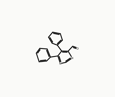 O=Cc1ncnc(-c2ccccc2)c1-c1ccccc1